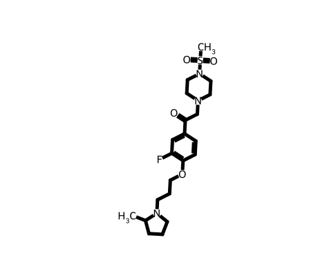 CC1CCCN1CCCOc1ccc(C(=O)CN2CCN(S(C)(=O)=O)CC2)cc1F